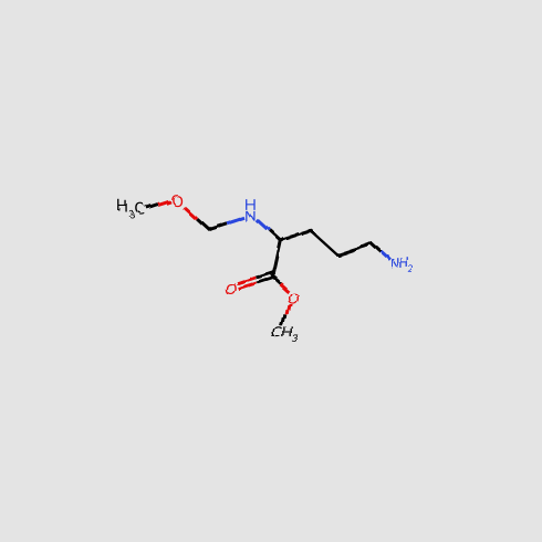 COCNC(CCCN)C(=O)OC